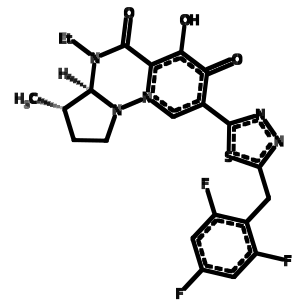 CCN1C(=O)c2c(O)c(=O)c(-c3nnc(Cc4c(F)cc(F)cc4F)s3)cn2N2CC[C@H](C)[C@@H]12